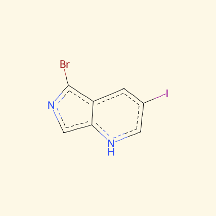 Brc1ncc2[nH]cc(I)cc1-2